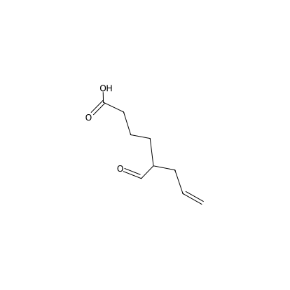 C=CCC(C=O)CCCC(=O)O